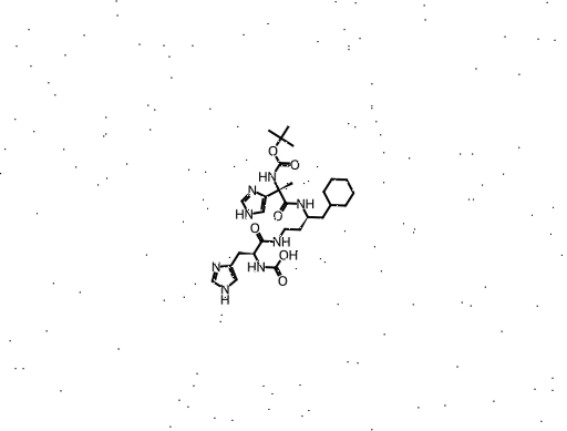 CC(C)(C)OC(=O)N[C@](C)(C(=O)N[C@H](CCNC(=O)[C@H](Cc1c[nH]cn1)NC(=O)O)CC1CCCCC1)c1c[nH]cn1